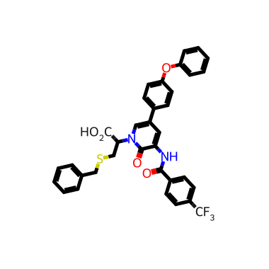 O=C(Nc1cc(-c2ccc(Oc3ccccc3)cc2)cn(C(CSCc2ccccc2)C(=O)O)c1=O)c1ccc(C(F)(F)F)cc1